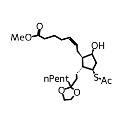 CCCCCC1(CC[C@@H]2[C@@H](C/C=C\CCCC(=O)OC)[C@@H](O)C[C@H]2SC(C)=O)OCCO1